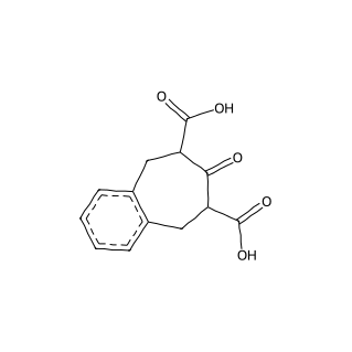 O=C(O)C1Cc2ccccc2CC(C(=O)O)C1=O